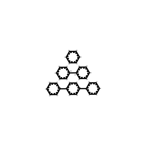 c1ccc(-c2ccc(-c3ccccc3)cc2)cc1.c1ccc(-c2ccccc2)cc1.c1ccccc1